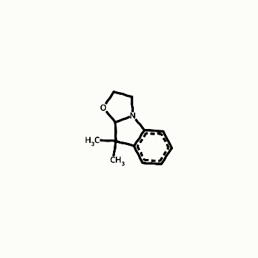 CC1(C)c2ccccc2N2CCOC21